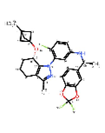 C[C@H](Nc1ccc(F)c(-n2nc(C(F)(F)F)c3c2[C@@H](OC24CC(C(=O)O)(C2)C4)CCC3)c1)c1ccc2c(c1)OC(F)(F)O2